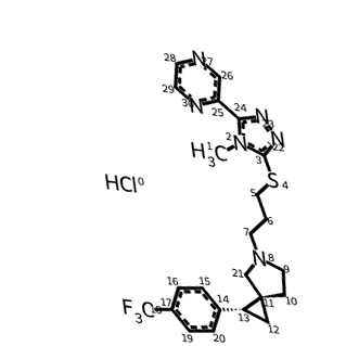 Cl.Cn1c(SCCCN2CC[C@]3(C[C@@H]3c3ccc(C(F)(F)F)cc3)C2)nnc1-c1cnccn1